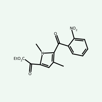 CCOC(=O)C(=O)c1cc(C)c(C(=O)c2ccccc2[N+](=O)[O-])n1C